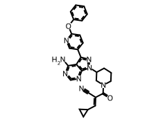 N#CC(=CC1CC1)C(=O)N1CCCC(n2nc(-c3ccc(Oc4ccccc4)nc3)c3c(N)ncnc32)C1